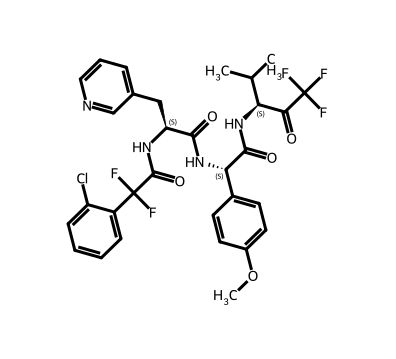 COc1ccc([C@H](NC(=O)[C@H](Cc2cccnc2)NC(=O)C(F)(F)c2ccccc2Cl)C(=O)N[C@H](C(=O)C(F)(F)F)C(C)C)cc1